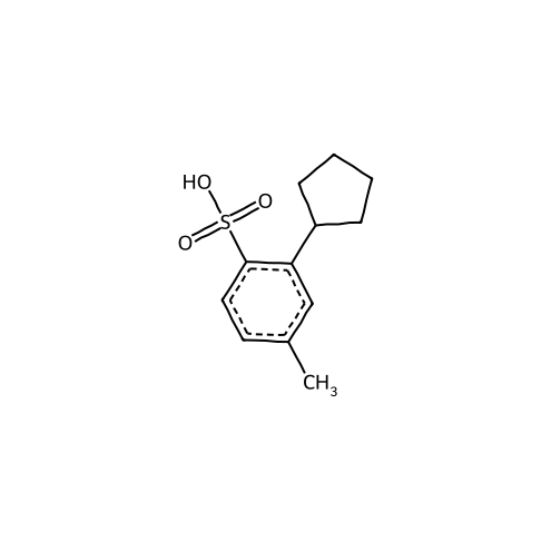 Cc1ccc(S(=O)(=O)O)c(C2CCCC2)c1